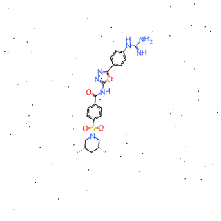 C[C@@H]1C[C@H](C)CN(S(=O)(=O)c2ccc(C(=O)Nc3nnc(-c4ccc(NC(=N)N)cc4)o3)cc2)C1